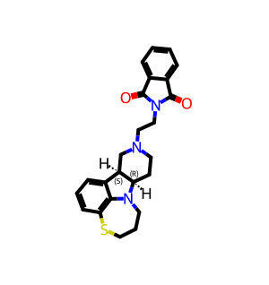 O=C1c2ccccc2C(=O)N1CCN1CC[C@@H]2[C@H](C1)c1cccc3c1N2CCCS3